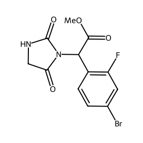 COC(=O)C(c1ccc(Br)cc1F)N1C(=O)CNC1=O